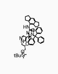 CC(C)(C)[Si](C)(C)OC[C@H]1Cn2ncc([S@@](=O)(=NC(=O)Nc3c4c(cc5c3CCC5)CCC4)NC(c3ccccc3)(c3ccccc3)c3ccccc3)c2O1